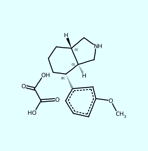 COc1cccc([C@@H]2CCC[C@@H]3CNC[C@H]32)c1.O=C(O)C(=O)O